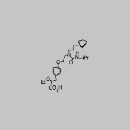 CCOC(Cc1ccc(OCCN(CCCc2ccccc2)C(=O)NCC(C)C)cc1)C(=O)O